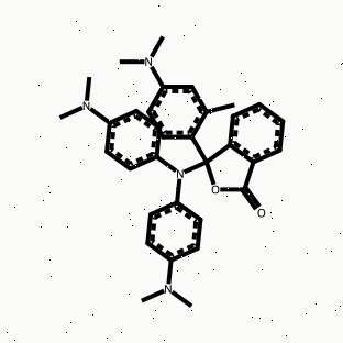 Cc1cc(N(C)C)ccc1C1(N(c2ccc(N(C)C)cc2)c2ccc(N(C)C)cc2)OC(=O)c2ccccc21